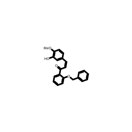 COc1ccc(/C=C\C(=O)c2ccccc2OCc2ccccc2)cc1O